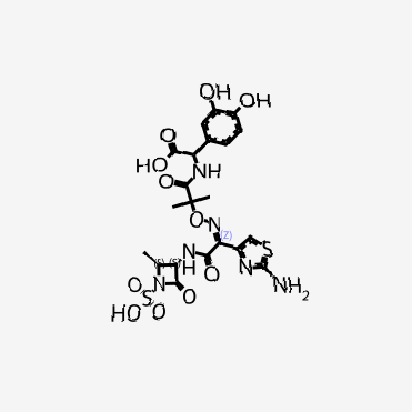 C[C@H]1[C@H](NC(=O)/C(=N\OC(C)(C)C(=O)NC(C(=O)O)c2ccc(O)c(O)c2)c2csc(N)n2)C(=O)N1S(=O)(=O)O